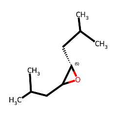 CC(C)CC1O[C@H]1CC(C)C